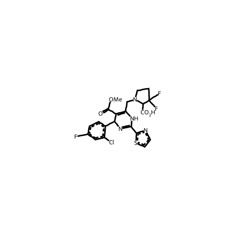 COC(=O)C1=C(CN2CCC(F)(F)C2C(=O)O)NC(c2nccs2)=NC1c1ccc(F)cc1Cl